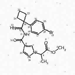 COC(=O)C(C)n1cc(C(=O)NC(=N)C2(c3ccc(Br)cc3)CCC2)cn1